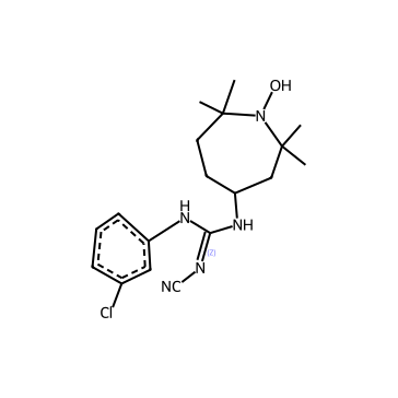 CC1(C)CCC(N/C(=N/C#N)Nc2cccc(Cl)c2)CC(C)(C)N1O